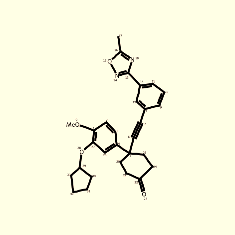 COc1ccc(C2(C#Cc3cccc(-c4noc(C)n4)c3)CCC(=O)CC2)cc1OC1CCCC1